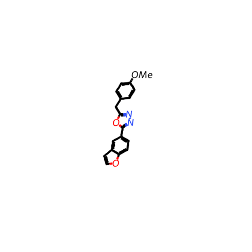 COc1ccc(Cc2nnc(-c3ccc4occc4c3)o2)cc1